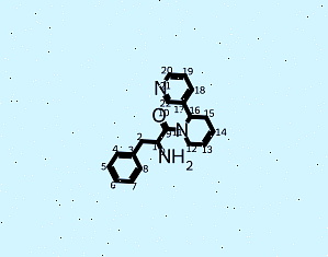 NC(Cc1ccccc1)C(=O)N1CC=CCC1c1cccnc1